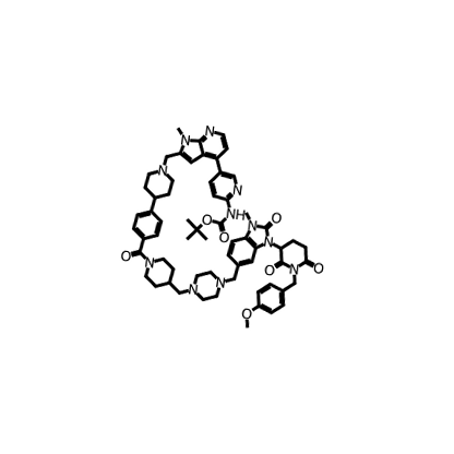 COc1ccc(CN2C(=O)CCC(n3c(=O)n(C)c4ccc(CN5CCN(CC6CCN(C(=O)c7ccc(C8CCN(Cc9cc%10c(-c%11ccc(NC(=O)OC(C)(C)C)nc%11)ccnc%10n9C)CC8)cc7)CC6)CC5)cc43)C2=O)cc1